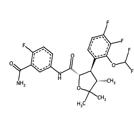 C[C@H]1[C@H](c2ccc(F)c(F)c2OC(F)F)[C@@H](C(=O)Nc2ccc(F)c(C(N)=O)c2)OC1(C)C